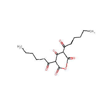 CCCCCC(=O)C1C(=O)OC(=O)C(C(=O)CCCCC)C1=O